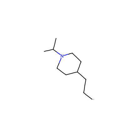 [CH2]CCC1CCN(C(C)C)CC1